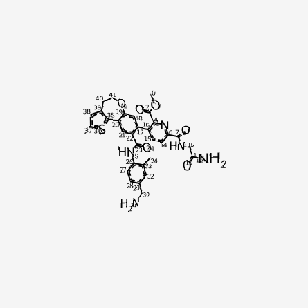 COC(=O)c1nc(C(=O)NCC(N)=O)ccc1-c1cc2c(cc1C(=O)Nc1ccc(CN)cc1C)-c1sccc1CCO2